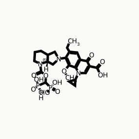 CCc1cc2c(=O)c(C(=O)O)cn(C3CC3)c2c(OC)c1N1CC2CCCN(C(=O)OC(P(=O)(O)O)P(=O)(O)O)[C@H]2C1